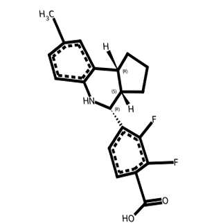 Cc1ccc2c(c1)[C@@H]1CCC[C@@H]1[C@H](c1ccc(C(=O)O)c(F)c1F)N2